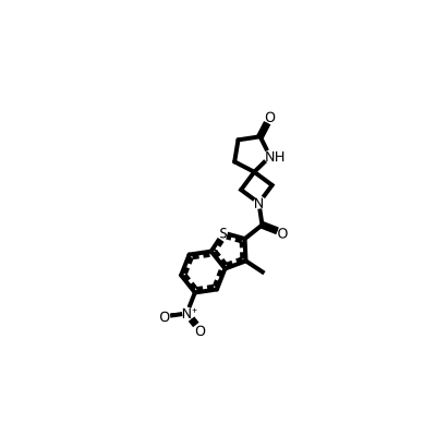 Cc1c(C(=O)N2CC3(CCC(=O)N3)C2)sc2ccc([N+](=O)[O-])cc12